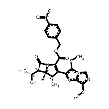 CSc1ncn2c(SC)c(C3=C(C(=O)OCc4ccc([N+](=O)[O-])cc4)N4C(=O)[C@H]([C@@H](C)O)[C@H]4[C@H]3C)sc12